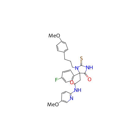 COc1ccc(CCCN2C(=S)NC(=O)C2(CC(=O)Nc2ccc(OC)cn2)c2ccc(F)cc2)cc1